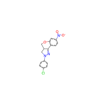 O=[N+]([O-])c1ccc2c(c1)OCC1CN(c3ccc(Cl)cc3)N=C21